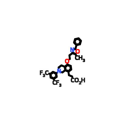 Cc1oc(-c2ccccc2)nc1CCOc1ccc(CCC(=O)O)c2c1CCN(c1cc(C(F)(F)F)cc(C(F)(F)F)c1)C2